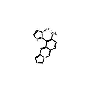 Cc1ccc2cn3cccc3nc2c1-c1nccn1C